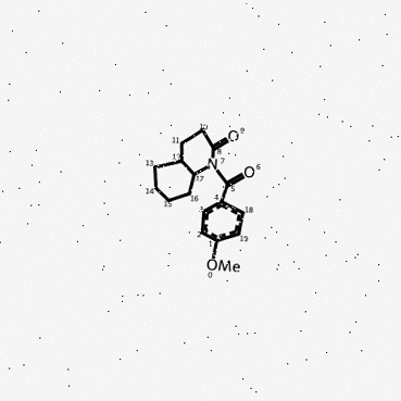 COc1ccc(C(=O)N2C(=O)CCC3CCCCC32)cc1